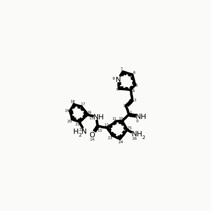 N=C(/C=C/c1cccnc1)c1cc(C(=O)Nc2ccccc2N)ccc1N